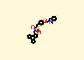 CN1c2ccccc2CC1COc1ccc(CC2SC(=O)N(CC3=CCc4c3c3c(c5c4=CC=C5)C=CC=3)C2=O)cc1